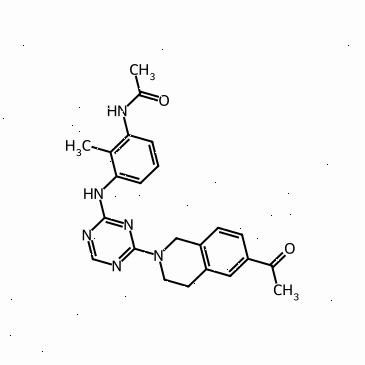 CC(=O)Nc1cccc(Nc2ncnc(N3CCc4cc(C(C)=O)ccc4C3)n2)c1C